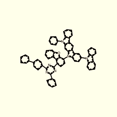 c1ccc(-c2ccc(-c3nc(-c4ccccc4)nc(-c4ccc(-n5c6ccc(-n7c8ccccc8c8ccccc87)cc6c6cc7c8ccccc8n(-c8ccccc8)c7cc65)c5oc6ccccc6c45)n3)cc2)cc1